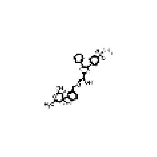 CC1CC(O)(c2cccc(COCC(O)c3nc(-c4ccccc4)c(-c4ccc(S(N)(=O)=O)cc4)o3)c2)CC(C)O1